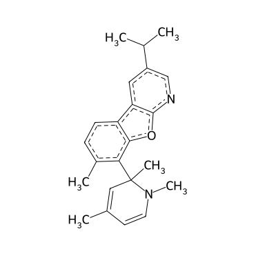 CC1=CC(C)(c2c(C)ccc3c2oc2ncc(C(C)C)cc23)N(C)C=C1